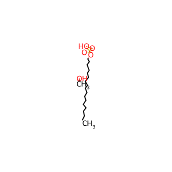 CCCCCCCCCCCCCCCCCCOS(=O)(=O)O.CO